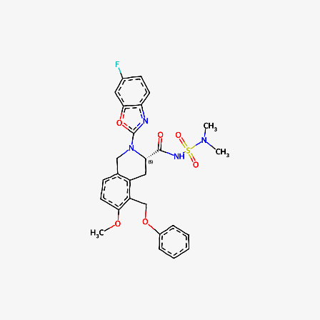 COc1ccc2c(c1COc1ccccc1)C[C@@H](C(=O)NS(=O)(=O)N(C)C)N(c1nc3ccc(F)cc3o1)C2